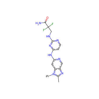 Cc1nc2cnc(Nc3ccnc(NCC(F)(F)C(N)=O)n3)cc2n1C(C)C